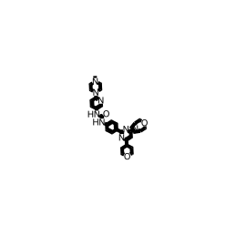 CN1CCN(c2ccc(NC(=O)Nc3ccc(-c4nc(C5CCOCC5)cc(N5C6CCC5COC6)n4)cc3)cn2)CC1